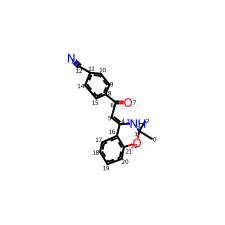 CC1(C)N/C(=C\C(=O)c2ccc(C#N)cc2)c2ccccc2O1